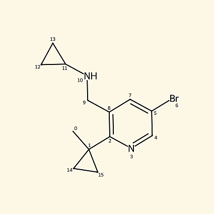 CC1(c2ncc(Br)cc2CNC2CC2)CC1